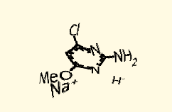 COc1cc(Cl)nc(N)n1.[H-].[Na+]